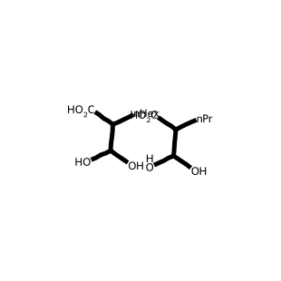 CCCC(C(=O)O)C(O)O.CCCCCCC(C(=O)O)C(O)O